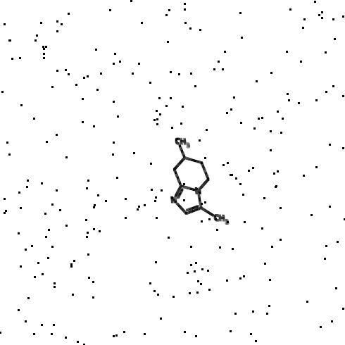 Cc1cnc2n1CCC(C)C2